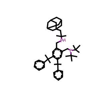 CC(C)(CC12CC3CC(CC(C3)C1)C2)PCc1cc(C(C)(C)c2ccccc2)c(C(C)(C)c2ccccc2)cc1CP(C(C)(C)C)C(C)(C)C